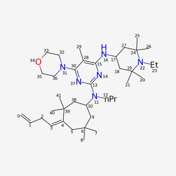 C=CC/C=C1/CC(C)(C)CC(N(CCC)c2nc(NC3CC(C)(C)N(CC)C(C)(C)C3)c(C)c(N3CCOCC3)n2)CC1(C)C